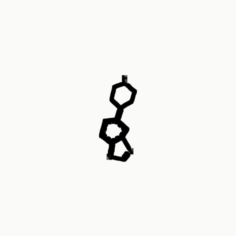 C1=Nc2cc(=C3CCNCC3)ccc2=N1